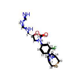 N=C/N=C\NC[C@H]1CN(c2ccc(N3C4CCC3CSC4)c(F)c2)C(=O)O1